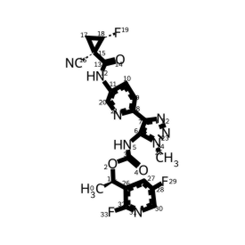 C[C@@H](OC(=O)Nc1c(-c2ccc(NC(=O)[C@@]3(C#N)C[C@@H]3F)cn2)nnn1C)c1cc(F)cnc1F